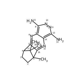 CC12CCC(c3nc4c(N)nnc(N)c4nc31)C2(C)C